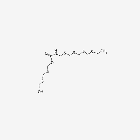 CCSCSCSCSCNC(=O)OCSCSCO